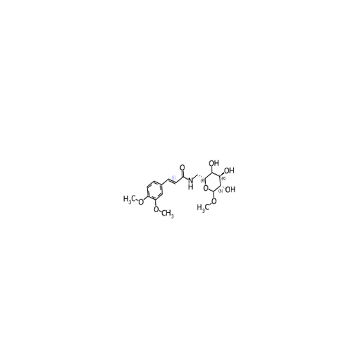 COc1ccc(/C=C/C(=O)NC[C@H]2OC(OC)[C@@H](O)[C@H](O)C2O)cc1OC